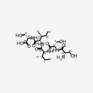 CC[C@H](C)[C@H](NC(=O)[C@H](CO)NC(=O)[C@@H](N)CO)C(=O)N[C@H](C(=O)N[C@@H](CO)C(=O)O)[C@@H](C)CC